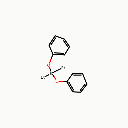 C[CH2][Ti]([CH2]C)([O]c1ccccc1)[O]c1ccccc1